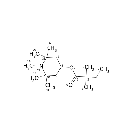 CCC(C)(C)C(=O)OC1CC(C)(C)N(C)C(C)(C)C1